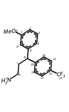 COc1cccc(C(CCN)c2ccc(C(F)(F)F)cc2)c1